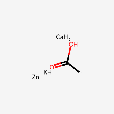 [CH2]C(=O)O.[CaH2].[KH].[Zn]